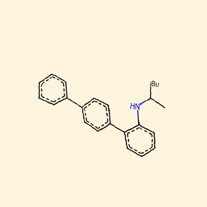 CCC(C)C(C)Nc1ccccc1-c1ccc(-c2ccccc2)cc1